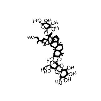 CC(CO)C(=O)CCC(C)(O[C@@H]1O[C@H](CO)[C@@H](O)[C@H](O)[C@H]1O)[C@H]1CC[C@]2(C)[C@@H]1[C@H](O)CC1[C@@]3(C)C[C@@H](O)[C@H](O[C@@H]4O[C@H](CO)[C@@H](O)[C@H](O)[C@H]4O[C@@H]4O[C@H](CO)[C@@H](O)[C@H](O)[C@H]4O)C(C)(C)C3CC[C@]12C